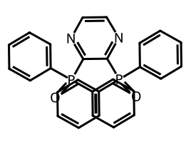 O=P(c1ccccc1)(c1ccccc1)c1nccnc1P(=O)(c1ccccc1)c1ccccc1